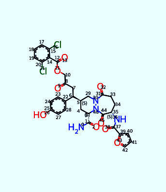 NC(=O)[C@@H]1C[C@@H](C(CC(=O)COC(=O)c2c(Cl)cccc2Cl)c2ccc(O)cc2)CN2C(=O)CC[C@H](NC(=O)c3ccco3)C(=O)N12